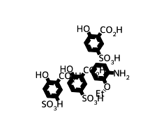 CCOc1ccccc1N.O=C(O)c1cc(S(=O)(=O)O)ccc1O.O=C(O)c1cc(S(=O)(=O)O)ccc1O.O=C(O)c1cc(S(=O)(=O)O)ccc1O